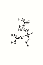 CCCC(C)(C)OO.O=C(O)O.O=C(O)O